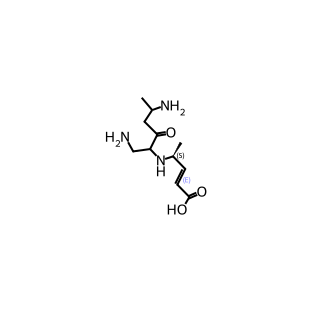 CC(N)CC(=O)C(CN)N[C@@H](C)/C=C/C(=O)O